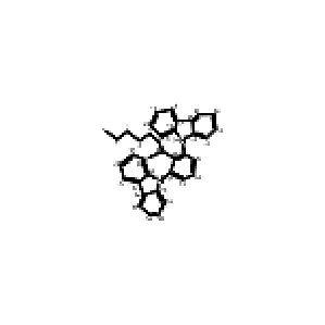 CCCCCCC(C)c1c(-n2c3ccccc3c3ccccc32)cccc1-n1c2ccccc2c2ccccc21